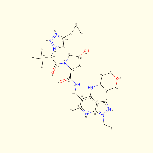 CCn1ncc2c(NC3CCOCC3)c(CNC(=O)[C@@H]3C[C@@H](O)CN3C(=O)[C@@H](n3cc(C4CC4)nn3)C(C)(C)C)c(C)nc21